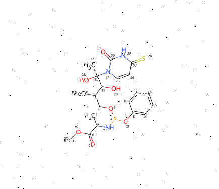 COC(COP(NC(C)C(=O)OC(C)C)Oc1ccccc1)C(O)C(C)(O)n1ccc(=S)[nH]c1=O